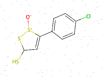 [O-][S+]1SC(S)C=C1c1ccc(Cl)cc1